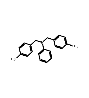 Cc1ccc(CN(Cc2ccc(C)cc2)c2ccccc2)cc1